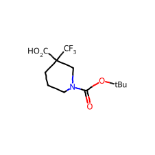 CC(C)(C)OC(=O)N1CCCC(C(=O)O)(C(F)(F)F)C1